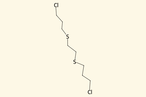 ClCCCSCCSCCCCl